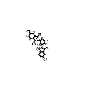 O=C1c2ccc(Cl)cc2C(=O)N1c1cccc(N2C(=O)c3cc(Cl)ccc3C2O)c1